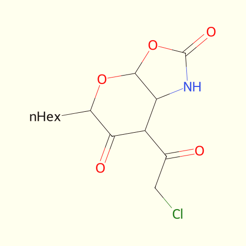 CCCCCCC1OC2OC(=O)NC2C(C(=O)CCl)C1=O